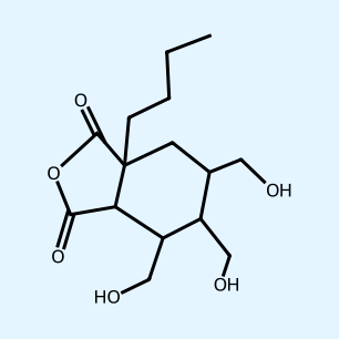 CCCCC12CC(CO)C(CO)C(CO)C1C(=O)OC2=O